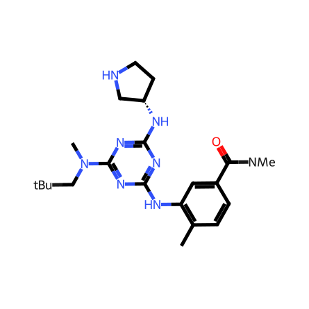 CNC(=O)c1ccc(C)c(Nc2nc(N[C@H]3CCNC3)nc(N(C)CC(C)(C)C)n2)c1